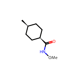 CONC(=O)[C@H]1CC[C@@H](C)CC1